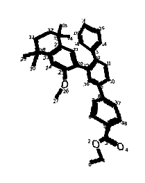 CCOC(=O)c1ccc(-c2ccc(-c3ccccc3)c(-c3cc4c(cc3OC)C(C)(C)CCC4(C)C)c2)cc1